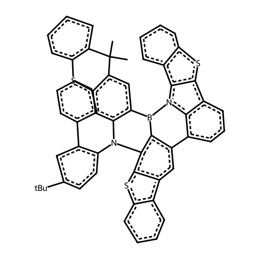 CC(C)(C)c1ccc(N2c3cc4c(cc3B3c5c(cc6c(sc7ccccc76)c52)-c2cccc5c6sc7ccccc7c6n3c25)C(C)(C)c2ccccc2S4)c(-c2ccccc2)c1